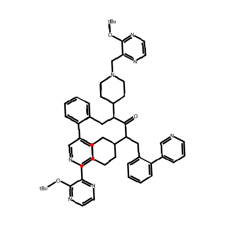 CC(C)(C)Oc1nccnc1CN1CCC(C(Cc2ccccc2-c2cccnc2)C(=O)C(Cc2ccccc2-c2cccnc2)C2CCN(Cc3nccnc3OC(C)(C)C)CC2)CC1